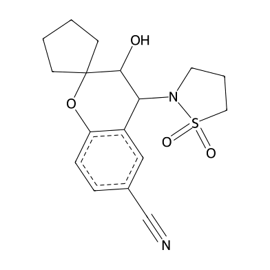 N#Cc1ccc2c(c1)C(N1CCCS1(=O)=O)C(O)C1(CCCC1)O2